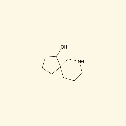 OC1CCCC12CCCNC2